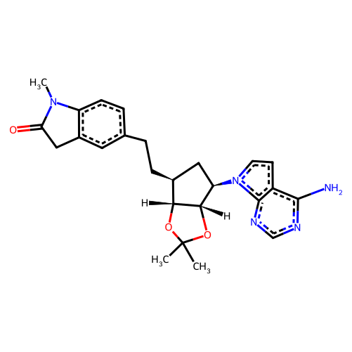 CN1C(=O)Cc2cc(CC[C@H]3C[C@@H](n4ccc5c(N)ncnc54)[C@@H]4OC(C)(C)O[C@H]34)ccc21